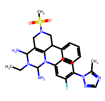 CCN1C(N)C2=C(C(c3ccccc3)CN(S(C)(=O)=O)C2)N(c2ccc(-n3ncnc3C)c(F)c2)C1N